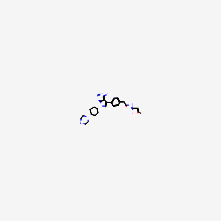 CN1CCN([C@H]2CC[C@H](n3cc(-c4ccc(CC(=O)Nc5cc(C(C)(C)C)on5)cc4)c4c(N)ncnc43)CC2)CC1